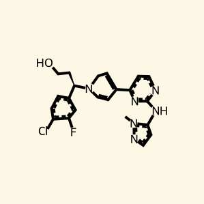 Cn1nccc1Nc1nccc(C2=CCN([C@H](CCO)c3ccc(Cl)c(F)c3)C=C2)n1